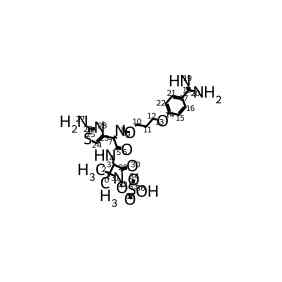 CC1(C)C(NC(=O)C(=NOCCCOc2ccc(C(=N)N)cc2)c2csc(N)n2)C(=O)N1OS(=O)(=O)O